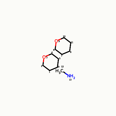 C1CCOCC1.C1CCOCC1.CN